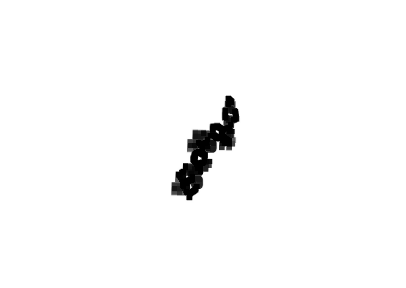 CCN1CCN(Cc2ccc(NC(=O)Nc3ccc(Oc4ncnc5c4OCC(C)N5)c(F)c3)cc2C(F)(F)F)CC1